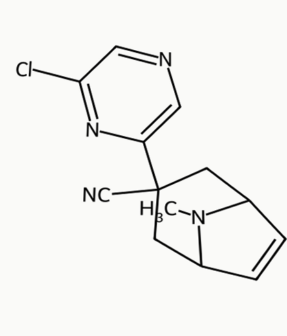 CN1C2C=CC1CC(C#N)(c1cncc(Cl)n1)C2